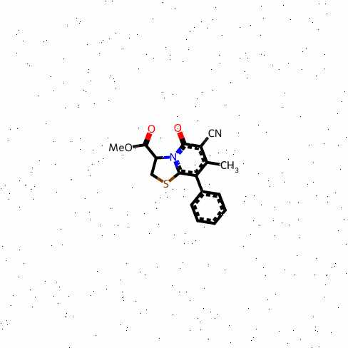 COC(=O)C1CSc2c(-c3ccccc3)c(C)c(C#N)c(=O)n21